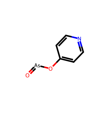 O=[As]Oc1ccncc1